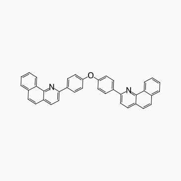 c1ccc2c(c1)ccc1ccc(-c3ccc(Oc4ccc(-c5ccc6ccc7ccccc7c6n5)cc4)cc3)nc12